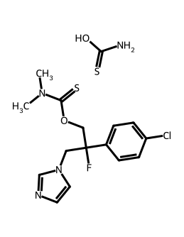 CN(C)C(=S)OCC(F)(Cn1ccnc1)c1ccc(Cl)cc1.NC(O)=S